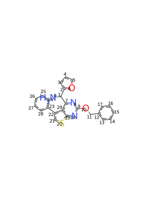 NC(c1ccco1)c1nc(OCc2ccccc2)nc2scc(-c3ccccc3)c12